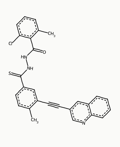 Cc1ccc(C(=S)NNC(=O)c2c(C)cccc2Cl)cc1C#Cc1cnc2ccccc2c1